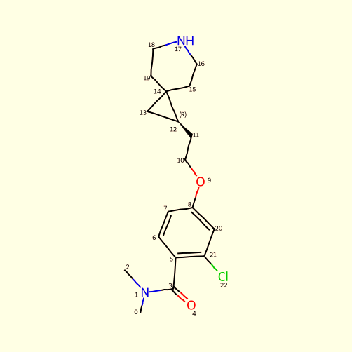 CN(C)C(=O)c1ccc(OCC[C@H]2CC23CCNCC3)cc1Cl